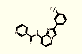 O=C(Nc1cccn2cc(-c3cccc(C(F)(F)F)c3)nc12)c1cccnc1